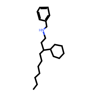 CCCCCCCC(CCNCc1ccccc1)C1CCCCC1